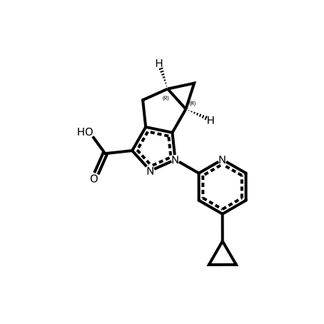 O=C(O)c1nn(-c2cc(C3CC3)ccn2)c2c1C[C@H]1C[C@@H]21